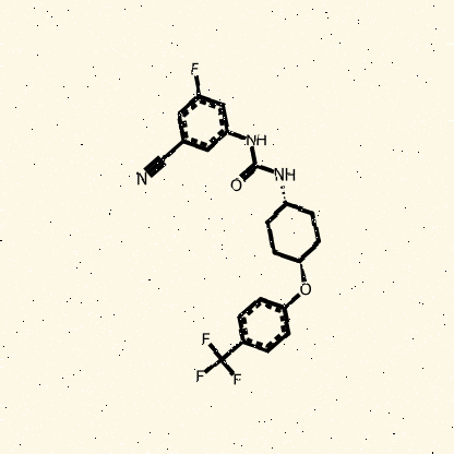 N#Cc1cc(F)cc(NC(=O)N[C@H]2CC[C@H](Oc3ccc(C(F)(F)F)cc3)CC2)c1